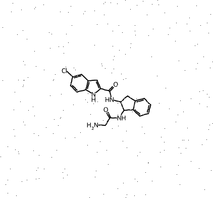 NCC(=O)NC1c2ccccc2CC1NC(=O)c1cc2cc(Cl)ccc2[nH]1